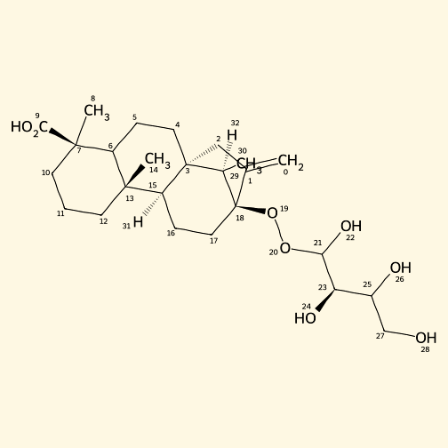 C=C1C[C@@]23CCC4[C@](C)(C(=O)O)CCC[C@@]4(C)[C@@H]2CC[C@]1(OOC(O)[C@H](O)C(O)CO)[C@@H]3C